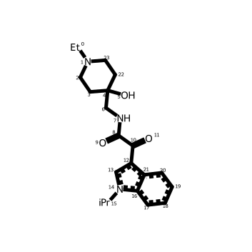 CCN1CCC(O)(CNC(=O)C(=O)c2cn(C(C)C)c3ccccc23)CC1